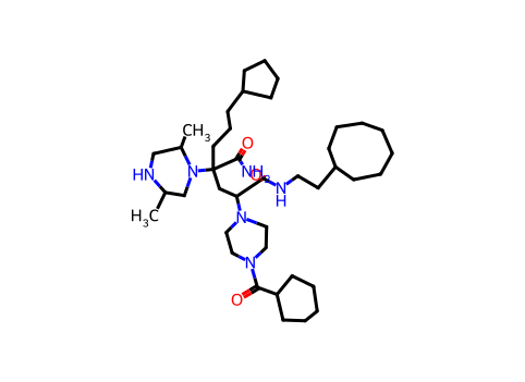 CC1CN(C(CCCC2CCCC2)(CC(C(=O)NCCC2CCCCCCC2)N2CCN(C(=O)C3CCCCC3)CC2)C(N)=O)C(C)CN1